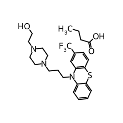 CCCC(=O)O.OCCN1CCN(CCCN2c3ccccc3Sc3ccc(C(F)(F)F)cc32)CC1